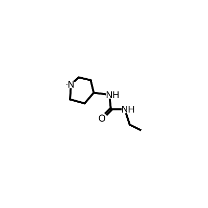 CCNC(=O)NC1CC[N]CC1